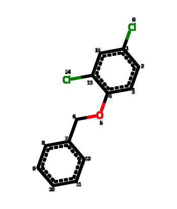 Clc1c[c]c(OCc2ccccc2)c(Cl)c1